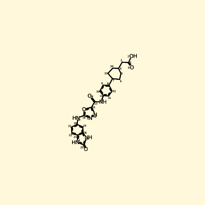 O=C(O)CC1CCC(c2ccc(NC(=O)c3nnc(Nc4ccc5[nH]c(=O)[nH]c5c4)o3)cc2)CC1